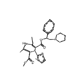 COC(=O)C1=C(C)NC(C)=C(C(=O)OC(CN2CCCCC2)c2ccccc2)C1c1ncc[nH]1